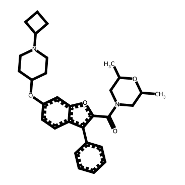 CC1CN(C(=O)c2oc3cc(OC4CCN(C5CCC5)CC4)ccc3c2-c2ccccc2)CC(C)O1